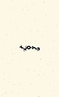 CC(C)=CC[C@H]1O[C@@]1(C)C1OC12CCC(N1CC(CCn3cccn3)C1)CC2